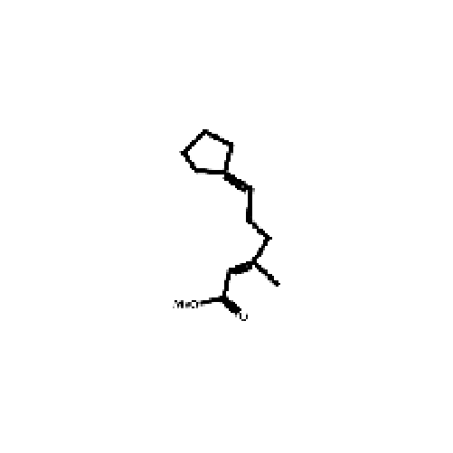 COC(=O)C=C(C)CCC=C1CCCC1